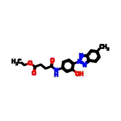 CCOC(=O)CCC(=O)Nc1ccc(-n2nc3ccc(C)cc3n2)c(O)c1